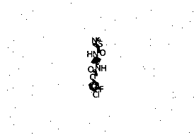 O=C(COc1ccc(Cl)c(F)c1)NC12CC(NC(=O)c3cncs3)(C1)C2